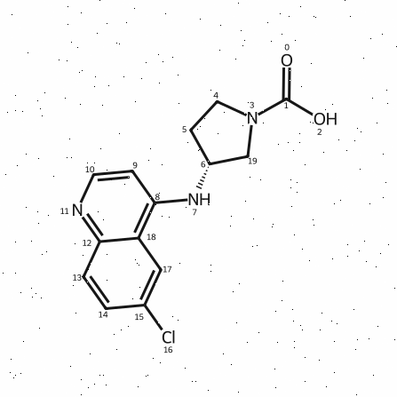 O=C(O)N1CC[C@@H](Nc2ccnc3ccc(Cl)cc23)C1